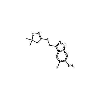 CC1(C)CC(SCc2noc3cc(N)c(F)cc23)=NO1